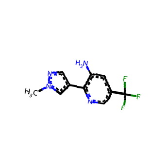 Cn1cc(-c2ncc(C(F)(F)F)cc2N)cn1